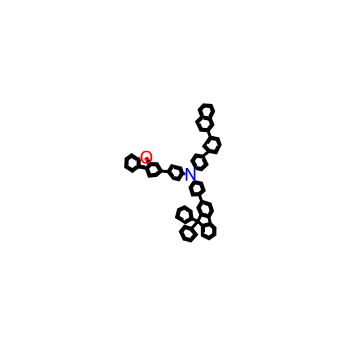 c1ccc(C2(c3ccccc3)c3ccccc3-c3ccc(-c4ccc(N(c5ccc(-c6cccc(-c7ccc8ccccc8c7)c6)cc5)c5ccc(-c6ccc7c(c6)oc6ccccc67)cc5)cc4)cc32)cc1